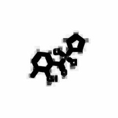 Cc1cccc([C](=O)[Ti]([Cl])([Cl])[CH]2C=CC=C2)c1O